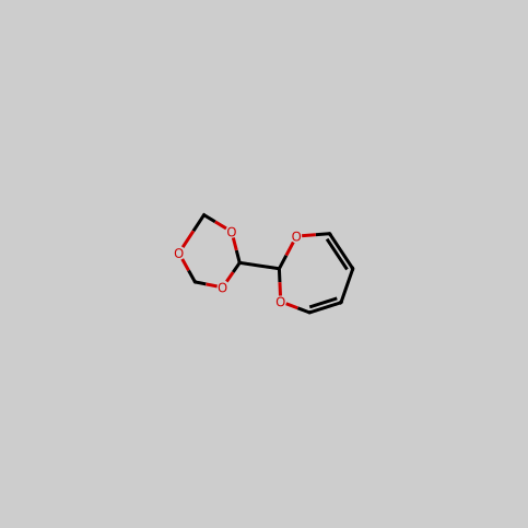 C1=COC(C2OCOCO2)OC=C1